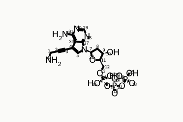 NCC#Cc1cn([C@H]2C[C@H](O)[C@@H](COP(=O)(O)OP(=O)(O)OP(=O)(O)O)O2)c2ncnc(N)c12